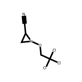 N#CC1CN1OCC(Cl)(Cl)Cl